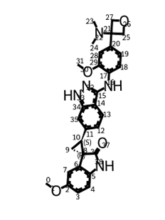 COc1ccc2c(c1)[C@]1(C[C@H]1c1ccc3c(Nc4ccc(C5(N(C)C)COC5)cc4OC)n[nH]c3c1)C(=O)N2